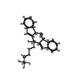 C[Si](C)(C)OCCC[Si]1(C)C2=Cc3ccccc3[CH]2[Zr][CH]2C1=Cc1ccccc12